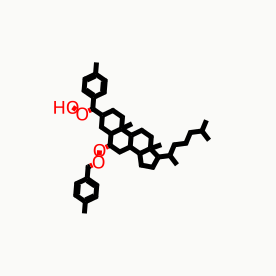 Cc1ccc(COOC2CC3C4CCC(C(C)CCCC(C)C)C4(C)CCC3C3(C)CCC(C(OO)c4ccc(C)cc4)CC23)cc1